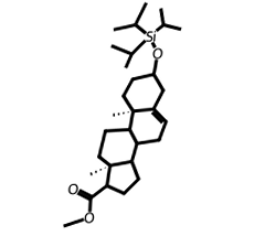 COC(=O)C1CCC2C3CC=C4CC(O[Si](C(C)C)(C(C)C)C(C)C)CC[C@]4(C)C3CC[C@]12C